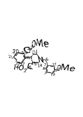 COC(=O)C1=CN(Cc2cccc(OC)c2)C=C(C(=O)O)C1c1ccccc1